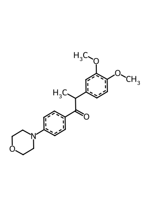 COc1ccc(C(C)C(=O)c2ccc(N3CCOCC3)cc2)cc1OC